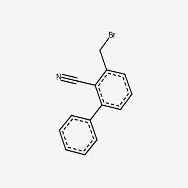 N#Cc1c(CBr)cccc1-c1ccccc1